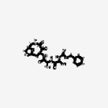 CC(C)C(NC(=O)OCc1ccccc1)C(=O)NC(C(=O)NC1CC2=NC(CNC(=O)C1=O)CS2)C(C)C